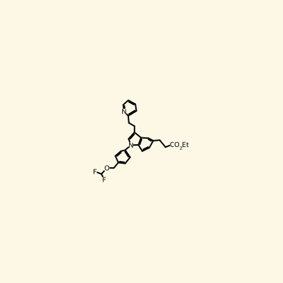 CCOC(=O)CCc1ccc2c(c1)c(CCc1ccccn1)cn2-c1ccc(COC(F)F)cc1